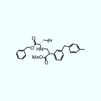 COC(=O)C(CN[C@@H](CC(C)C)C(=O)OCc1ccccc1)c1cccc(Cc2ccc(C)cc2)c1